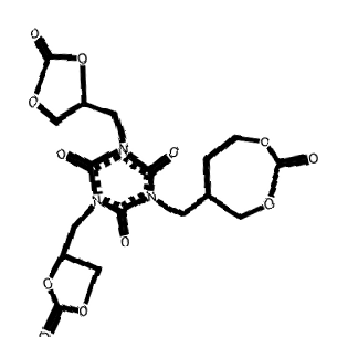 O=C1OCCC(Cn2c(=O)n(CC3COC(=O)O3)c(=O)n(CC3COC(=O)O3)c2=O)CO1